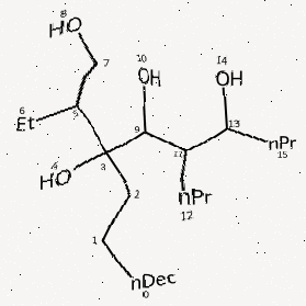 CCCCCCCCCCCCC(O)(C(CC)CO)C(O)C(CCC)C(O)CCC